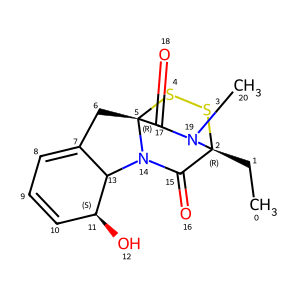 CC[C@@]12SS[C@]3(CC4=CC=C[C@H](O)C4N3C1=O)C(=O)N2C